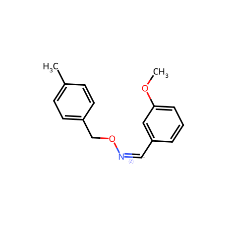 COc1cccc(/[C]=N\OCc2ccc(C)cc2)c1